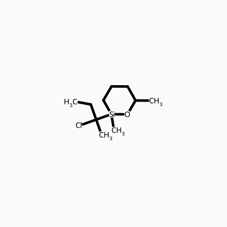 CCC(C)(Cl)[Si]1(C)CCCC(C)O1